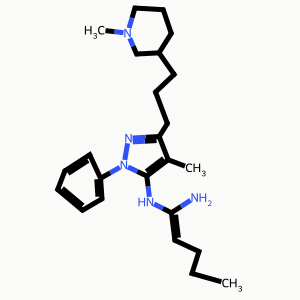 CCCC=C(N)Nc1c(C)c(CCCC2CCCN(C)C2)nn1-c1ccccc1